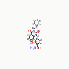 NC(=O)c1ccc(Cn2c(=O)n(CCN3CCOCC3)c(=O)c3ccc(O)cc32)cc1